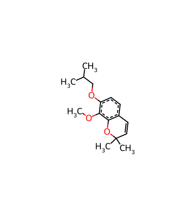 COc1c(OCC(C)C)ccc2c1OC(C)(C)C=C2